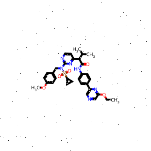 CCOc1cncc(-c2ccc(NC(=O)C(c3ccnc(N(Cc4ccc(OC)cc4)S(=O)(=O)C4CC4)n3)C(C)C)cc2)n1